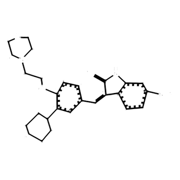 CC(=O)Nc1ccc2c(c1)NC(=O)/C2=C\c1ccc(OCCN2CCOCC2)c(C2CCCCC2)c1